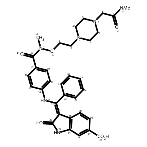 CNC(=O)CN1CCN(CCON(C)C(=O)c2ccc(N/C(=C3\C(=O)Nc4cc(C(=O)O)ccc43)c3ccccc3)cc2)CC1